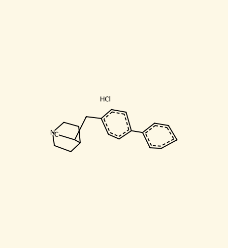 Cl.c1ccc(-c2ccc(CC3CN4CCC3CC4)cc2)cc1